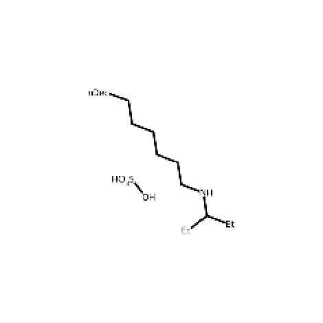 CCCCCCCCCCCCCCCCNC(CC)CC.O=S(=O)(O)O